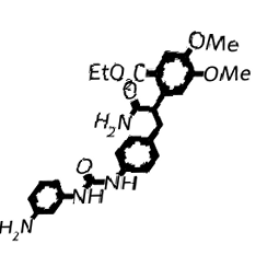 CCOC(=O)c1cc(OC)c(OC)cc1C(Cc1ccc(NC(=O)Nc2cccc(N)c2)cc1)C(N)=O